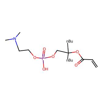 C=CC(=O)OC(CCCC)(CCCC)COP(=O)(O)OCCN(C)C